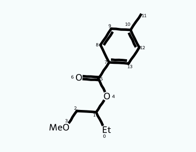 CCC(COC)OC(=O)c1ccc(C)cc1